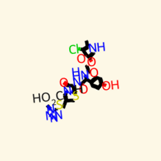 Cc1[nH]cc(OCC(=O)NC(C(=O)NC2C(=O)N3C(C(=O)O)=C(CSc4nnnn4C)CS[C@@H]23)c2ccc(O)cc2)c(=O)c1Cl